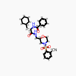 N#Cc1ccccc1S(=O)(=O)N1CCOC(CNC(=O)[C@H](CC2CCCCC2)NC(=O)c2ccccc2)C1